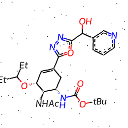 CCC(CC)O[C@@H]1C=C(c2nnc(C(O)c3cccnc3)o2)C[C@H](NC(=O)OC(C)(C)C)[C@H]1NC(C)=O